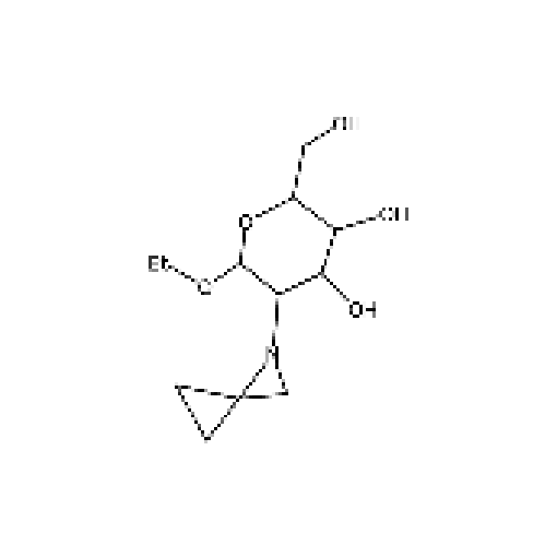 CCOC1OC(CO)C(O)C(O)C1N1CC12CC2